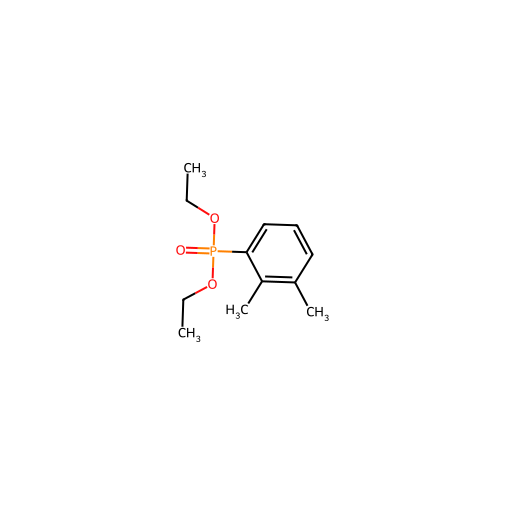 CCOP(=O)(OCC)c1cccc(C)c1C